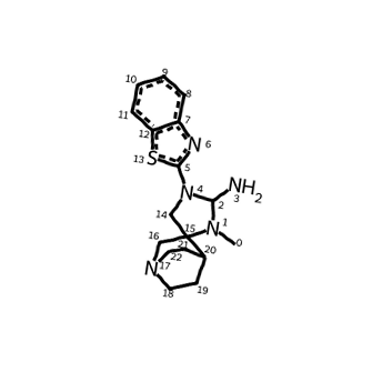 CN1C(N)N(c2nc3ccccc3s2)CC12CN1CCC2CC1